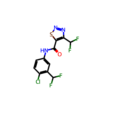 O=C(Nc1ccc(Cl)c(C(F)F)c1)c1snnc1C(F)F